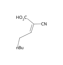 CCCCCC=C(C#N)C(=O)O